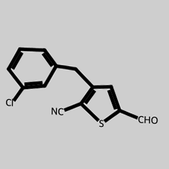 N#Cc1sc(C=O)cc1Cc1cccc(Cl)c1